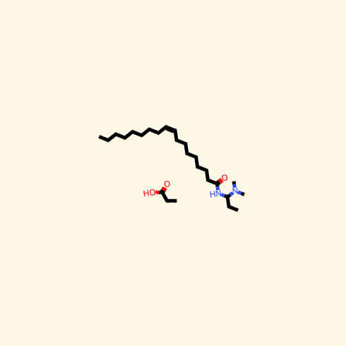 CCC(=O)O.CCCCCCCC/C=C\CCCCCCCC(=O)NC(CC)N(C)C